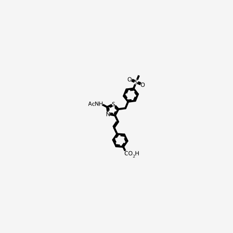 CC(=O)Nc1nc(C=Cc2ccc(C(=O)O)cc2)c(Cc2ccc(S(C)(=O)=O)cc2)s1